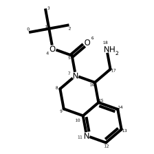 CC(C)(C)OC(=O)N1CCc2ncccc2C1CN